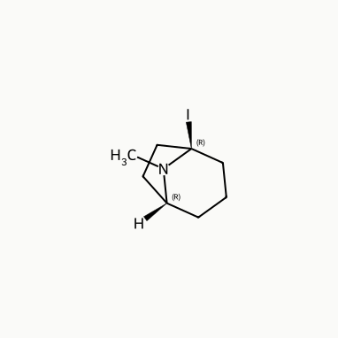 CN1[C@@H]2CCC[C@@]1(I)CC2